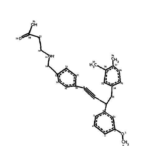 COc1cccc(C(C#Cc2ccc(CNCCC(=O)O)cc2)Cc2ccc(C)c(C)c2)c1